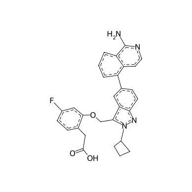 Nc1nccc2c(-c3ccc4nn(C5CCC5)c(COc5cc(F)ccc5CC(=O)O)c4c3)cccc12